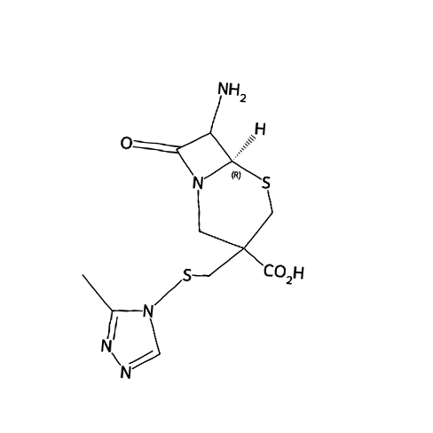 Cc1nncn1SCC1(C(=O)O)CS[C@@H]2C(N)C(=O)N2C1